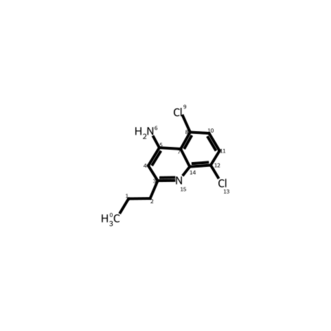 CCCc1cc(N)c2c(Cl)ccc(Cl)c2n1